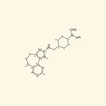 CCCN(C=O)C1CCC(CNc2nc3c(s2)CCOc2ccccc2-3)CC1